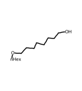 CCCCCCOCCCCCCCCO